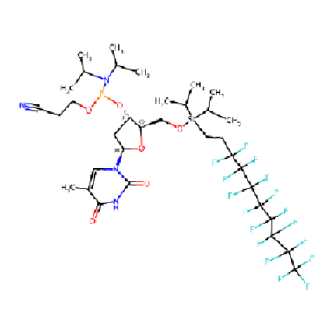 Cc1cn([C@H]2C[C@H](OP(OCCC#N)N(C(C)C)C(C)C)[C@@H](CO[Si](CCC(F)(F)C(F)(F)C(F)(F)C(F)(F)C(F)(F)C(F)(F)C(F)(F)C(F)(F)F)(C(C)C)C(C)C)O2)c(=O)[nH]c1=O